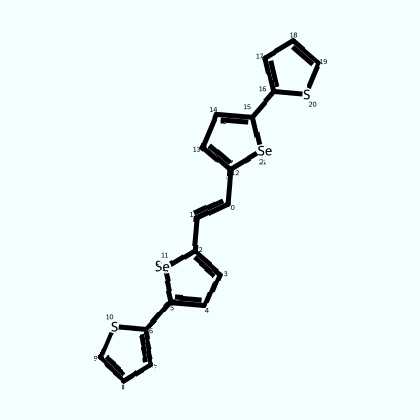 C(=C\c1ccc(-c2cccs2)[se]1)/c1ccc(-c2cccs2)[se]1